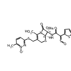 CO[C@@]1(NC(=O)C(=S=O)c2cccs2)C(=O)N2C(C(=O)O)=C(CSc3ccc(C)[n+]([O-])n3)CS[C@@H]21